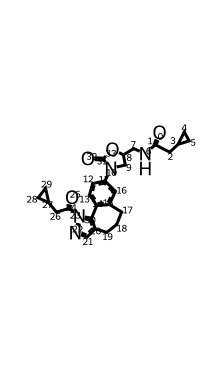 O=C(CC1CC1)NCC1CN(c2ccc3c(c2)CCCc2cnn(C(=O)CC4CC4)c2-3)C(=O)O1